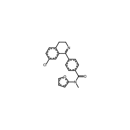 CN(C(=O)c1ccc(C2=NCCc3ccc(Cl)cc32)cc1)c1ccco1